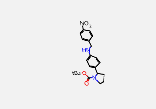 CC(C)(C)OC(=O)N1CCCC1c1ccc(NCc2ccc([N+](=O)[O-])cc2)cc1